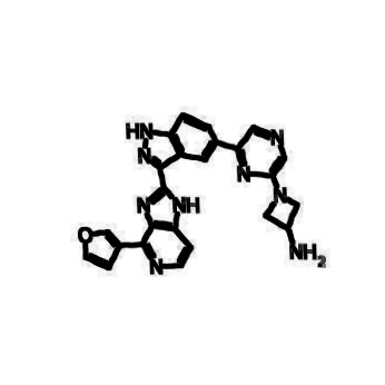 NC1CN(c2cncc(-c3ccc4[nH]nc(-c5nc6c(-c7ccoc7)nccc6[nH]5)c4c3)n2)C1